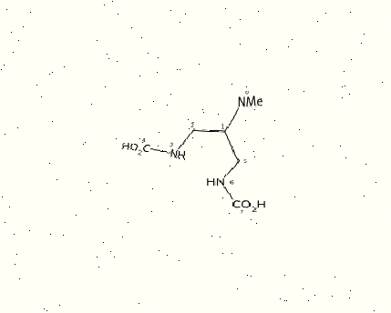 CNC(CNC(=O)O)CNC(=O)O